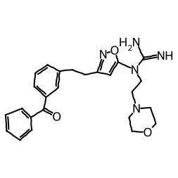 N=C(N)N(CCN1CCOCC1)c1cc(CCc2cccc(C(=O)c3ccccc3)c2)no1